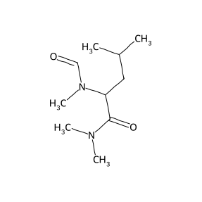 CC(C)CC(C(=O)N(C)C)N(C)C=O